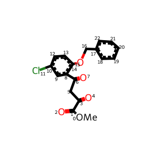 COC(=O)C(=O)CC(=O)c1cc(Cl)ccc1OCc1ccccc1